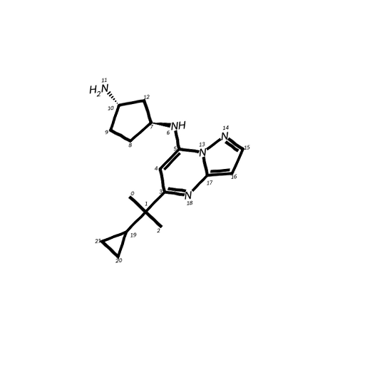 CC(C)(c1cc(N[C@H]2CC[C@H](N)C2)n2nccc2n1)C1CC1